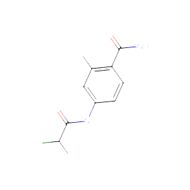 NC(=O)c1ccc(NC(=O)C(F)F)cc1F